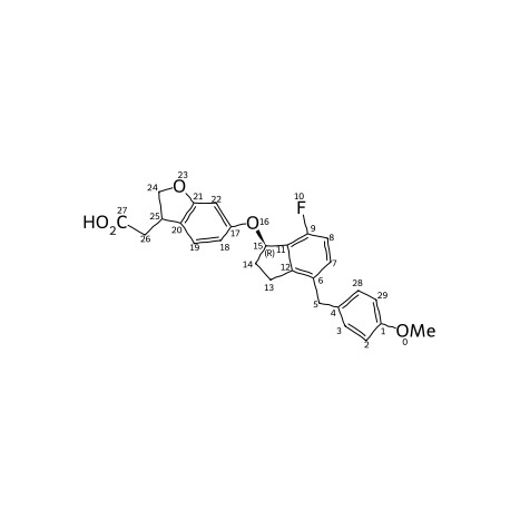 COc1ccc(Cc2ccc(F)c3c2CC[C@H]3Oc2ccc3c(c2)OCC3CC(=O)O)cc1